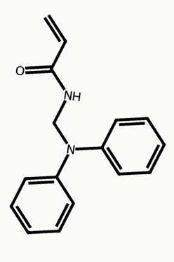 C=CC(=O)NCN(c1ccccc1)c1ccccc1